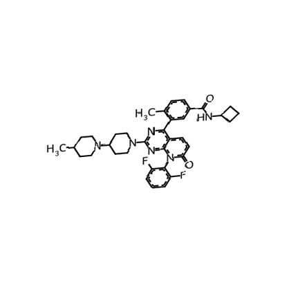 Cc1ccc(C(=O)NC2CCC2)cc1-c1nc(N2CCC(N3CCC(C)CC3)CC2)nc2c1ccc(=O)n2-c1c(F)cccc1F